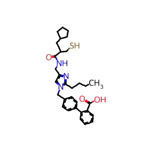 CCCCc1nc(CNC(=O)C(CS)CC2CCCC2)cn1Cc1ccc(-c2ccccc2C(=O)O)cc1